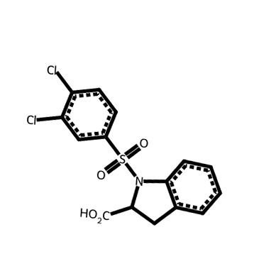 O=C(O)C1Cc2ccccc2N1S(=O)(=O)c1ccc(Cl)c(Cl)c1